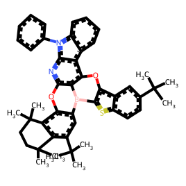 CC(C)(C)c1ccc2sc3c(c2c1)Oc1c2c(nc4c1c1ccccc1n4-c1ccccc1)Oc1c(cc(C(C)(C)C)c4c1C(C)(C)CCC4(C)C)B32